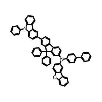 c1ccc(-c2ccc(N(c3ccc4c(c3)C(c3ccccc3)(c3ccccc3)c3cc(-c5ccc6c(c5)c5ccccc5n6-c5ccccc5)ccc3-4)c3ccc4oc5ccccc5c4c3)cc2)cc1